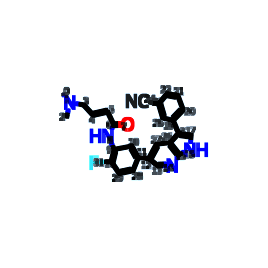 CN(C)C/C=C/C(=O)Nc1cc(-c2cnc3[nH]cc(-c4cccc(C#N)c4)c3c2)ccc1F